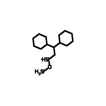 [SiH3]O[SiH]CC(C1CCCCC1)C1CCCCC1